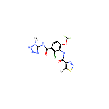 Cc1snnc1C(=O)Nc1c(OC(F)F)ccc(C(=O)NC2=NNNN2C)c1Cl